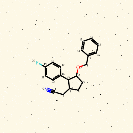 N#CCC1CCC(OCc2ccccc2)C1c1ccc(F)cc1